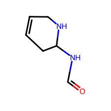 O=CNC1CC=CCN1